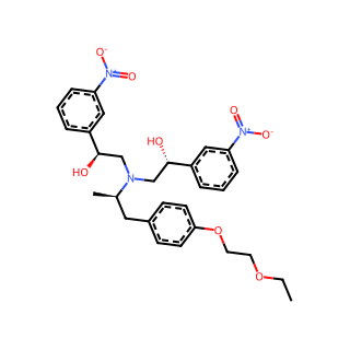 CCOCCOc1ccc(C[C@@H](C)N(C[C@@H](O)c2cccc([N+](=O)[O-])c2)C[C@H](O)c2cccc([N+](=O)[O-])c2)cc1